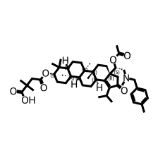 CC(=O)O[C@H](CN(C)Cc1ccc(C)cc1)[C@@]12CC[C@]3(C)[C@H](CC[C@@H]4[C@@]5(C)CC[C@H](OC(=O)CC(C)(C)C(=O)O)C(C)(C)[C@@H]5CC[C@]43C)C1=C(C(C)C)C(=O)C2